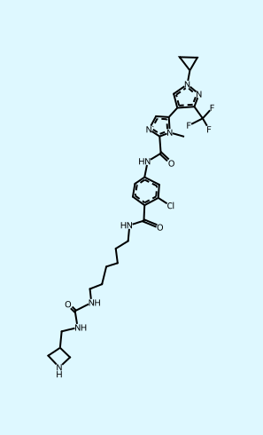 Cn1c(-c2cn(C3CC3)nc2C(F)(F)F)cnc1C(=O)Nc1ccc(C(=O)NCCCCCCNC(=O)NCC2CNC2)c(Cl)c1